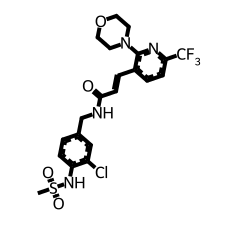 CS(=O)(=O)Nc1ccc(CNC(=O)C=Cc2ccc(C(F)(F)F)nc2N2CCOCC2)cc1Cl